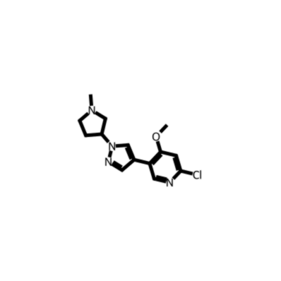 COc1cc(Cl)ncc1-c1cnn(C2CCN(C)C2)c1